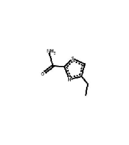 CCc1csc(C(N)=O)n1